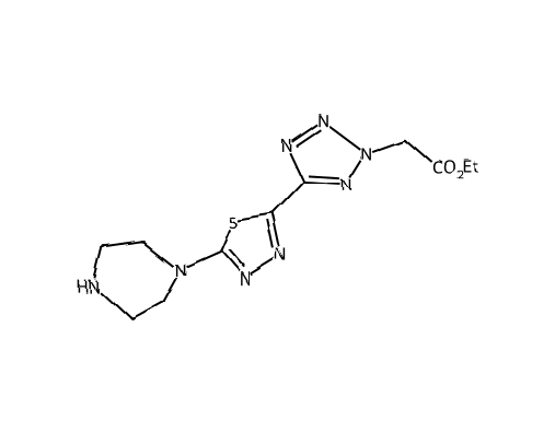 CCOC(=O)Cn1nnc(-c2nnc(N3CCNCC3)s2)n1